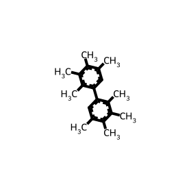 Cc1cc(-c2cc(C)c(C)c(C)c2C)c(C)c(C)c1C